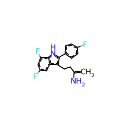 C=C(N)CCc1c(-c2ccc(F)cc2)[nH]c2c(F)cc(F)cc12